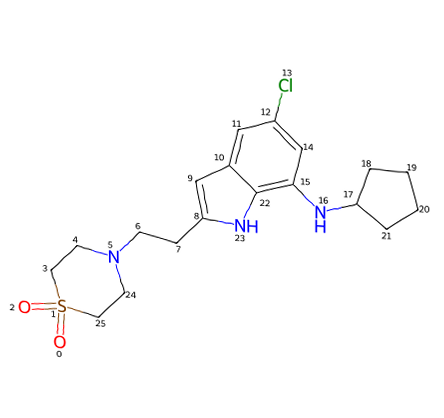 O=S1(=O)CCN(CCc2cc3cc(Cl)cc(NC4CCCC4)c3[nH]2)CC1